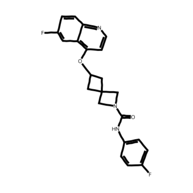 O=C(Nc1ccc(F)cc1)N1CC2(CC(Oc3ccnc4ccc(F)cc34)C2)C1